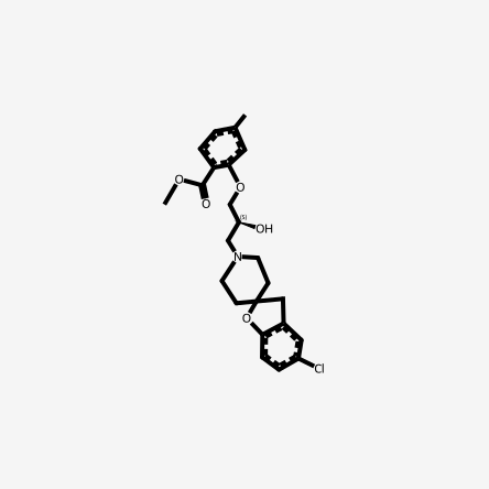 COC(=O)c1ccc(C)cc1OC[C@@H](O)CN1CCC2(CC1)Cc1cc(Cl)ccc1O2